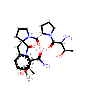 C[C@@H](O)[C@H](N)C(=O)N1CCC[C@H]1C(=O)N1CCC[C@@]1(Cc1ccc(C(F)(F)F)cc1)C(=O)N[C@H](C(N)=O)[C@@H](C)O